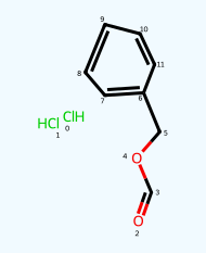 Cl.Cl.O=COCc1ccccc1